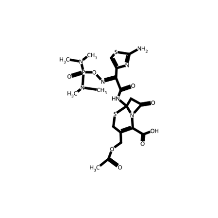 CC(=O)OCC1=C(C(=O)O)N2C(=O)CC2(NC(=O)C(=NOP(=O)(N(C)C)N(C)C)c2csc(N)n2)SC1